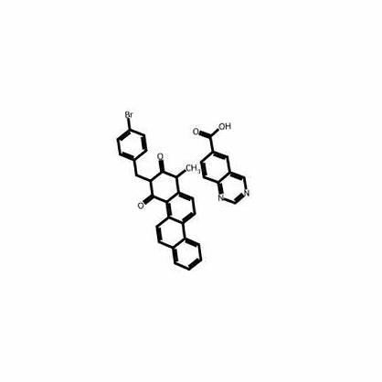 CC1C(=O)C(Cc2ccc(Br)cc2)C(=O)c2c1ccc1c2ccc2ccccc21.O=C(O)c1ccc2ncncc2c1